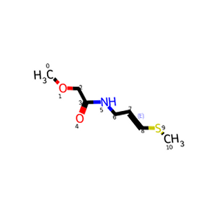 COCC(=O)NC/C=C/SC